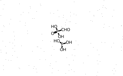 O=CP(=O)(O)O.OP(O)O